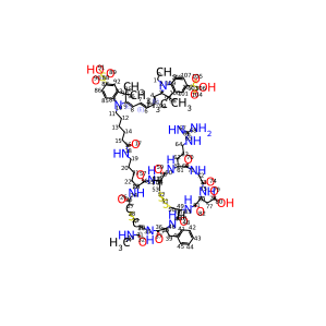 CC[N+]1=C(/C=C/C=C/C=C2/N(CCCCCC(=O)NCCCC[C@@H]3NC(=O)CSC[C@@H](C(=O)NC)NC(=O)[C@H](Cc4ccccc4)NC(=O)[C@@H]4CSSC[C@H](NC3=O)C(=O)N[C@@H](CCCNC(=N)N)C(=O)NCC(=O)N[C@@H](CC(=O)O)C(=O)N4)c3ccc(S(=O)(=O)O)cc3C2(C)C)C(C)(C)c2cc(S(=O)(=O)O)ccc21